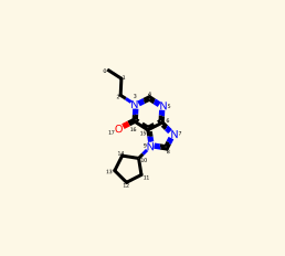 CCCn1cnc2ncn(C3CCCC3)c2c1=O